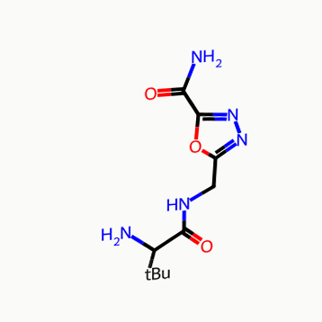 CC(C)(C)C(N)C(=O)NCc1nnc(C(N)=O)o1